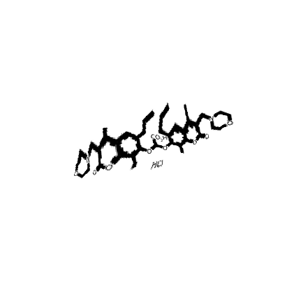 C=CCc1cc2c(C)c(CN3CCOCC3)c(=O)oc2c(C)c1OC(Oc1c(CC=C)cc2c(C)c(CN3CCOCC3)c(=O)oc2c1C)C(=O)O.Cl